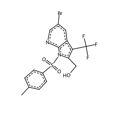 Cc1ccc(S(=O)(=O)n2c(CO)c(C(F)(F)F)c3cc(Br)cnc32)cc1